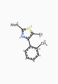 CCc1sc(NC)nc1-c1ccccc1C